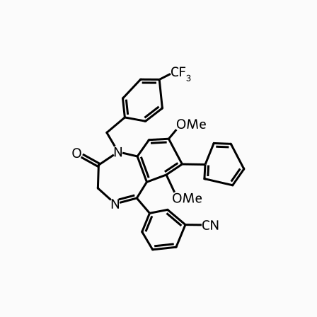 COc1cc2c(c(OC)c1-c1ccccc1)C(c1cccc(C#N)c1)=NCC(=O)N2Cc1ccc(C(F)(F)F)cc1